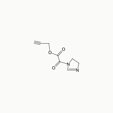 C#CCOC(=O)C(=O)N1C=NCC1